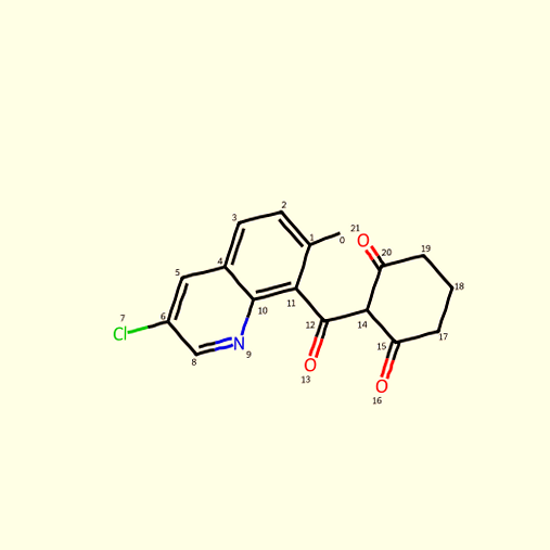 Cc1ccc2cc(Cl)cnc2c1C(=O)C1C(=O)CCCC1=O